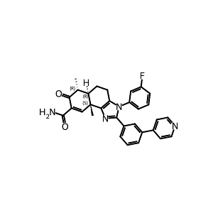 C[C@H]1C(=O)C(C(N)=O)=C[C@@]2(C)c3nc(-c4cccc(-c5ccncc5)c4)n(-c4cccc(F)c4)c3CC[C@H]12